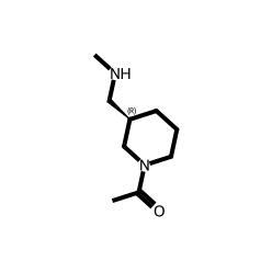 CNC[C@H]1CCCN(C(C)=O)C1